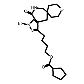 CCn1nc(CCCCOC(=O)C2CCCC2)c2c1C(=O)NCC1(CCOCC1)C2